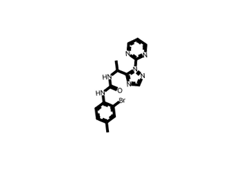 Cc1ccc(NC(=O)NC(C)c2ncnn2-c2ncccn2)c(Br)c1